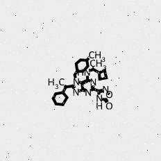 CC1CCC(Cn2c(C(C)C3CCCCC3)nc3nc(-c4noc(=O)[nH]4)nc(N[C@H](C)C4CCC4)c32)CC1